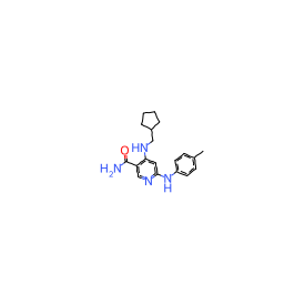 Cc1ccc(Nc2cc(NCC3CCCC3)c(C(N)=O)cn2)cc1